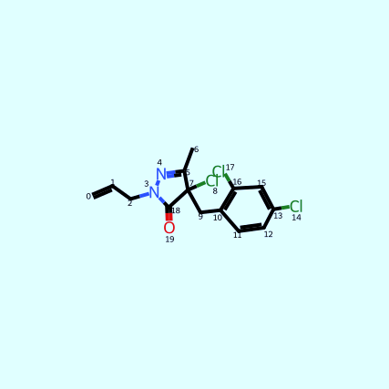 C=CCN1N=C(C)C(Cl)(Cc2ccc(Cl)cc2Cl)C1=O